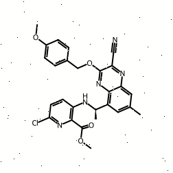 COC(=O)c1nc(Cl)ccc1N[C@H](C)c1cc(C)cc2nc(C#N)c(OCc3ccc(OC)cc3)nc12